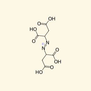 O=C(O)CC(/N=N/C(CC(=O)O)C(=O)O)C(=O)O